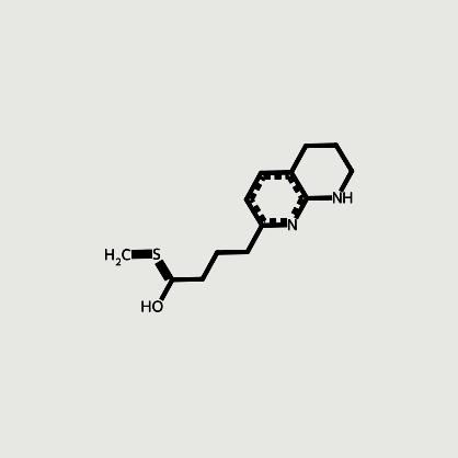 C=S=C(O)CCCc1ccc2c(n1)NCCC2